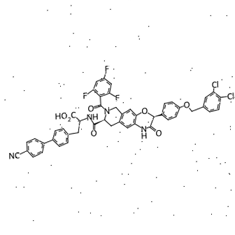 N#Cc1ccc(-c2ccc(CC(NC(=O)[C@@H]3Cc4cc5c(cc4CN3C(=O)c3c(F)cc(F)cc3F)O[C@@H](c3ccc(OCc4ccc(Cl)c(Cl)c4)cc3)C(=O)N5)C(=O)O)cc2)cc1